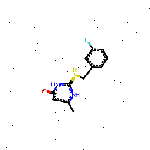 Cc1cc(=O)[nH]c(=[SH]Cc2cccc(F)c2)[nH]1